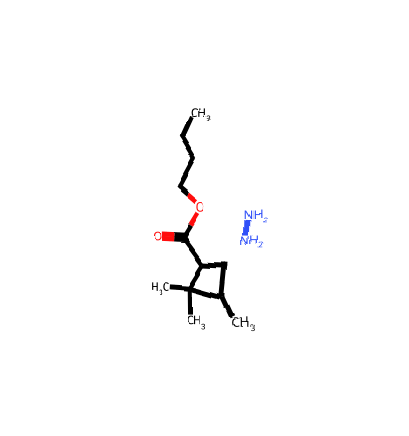 CCCCOC(=O)C1CC(C)C1(C)C.NN